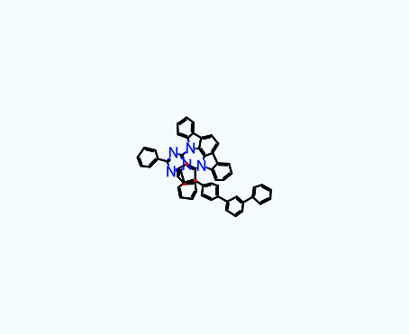 c1ccc(-c2cccc(-c3ccc(-c4ccccc4-n4c5ccccc5c5ccc6c7ccccc7n(-c7nc(-c8ccccc8)nc(-c8ccccc8)n7)c6c54)cc3)c2)cc1